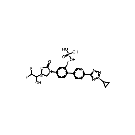 O=C1O[C@H](C(O)C(F)F)CN1c1ccc(-c2ccc(-c3nnn(C4CC4)n3)nc2)c(F)c1.O=P(O)(O)O